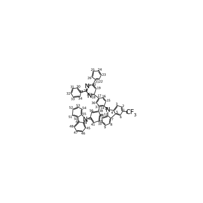 FC(F)(F)c1ccc2c(c1)c1ccccc1n2-c1ccc(-c2cc(-c3ccccc3)nc(-c3ccccc3)n2)cc1-c1cccc(-n2c3ccccc3c3ccccc32)c1